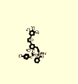 COc1cc(C2CCC(c3cc(OC)c(OC)c(OC)c3)O2)cc(CC#C[N+](O)(O)C(=O)c2ccccc2)c1OCCSc1ccc(Cl)cc1